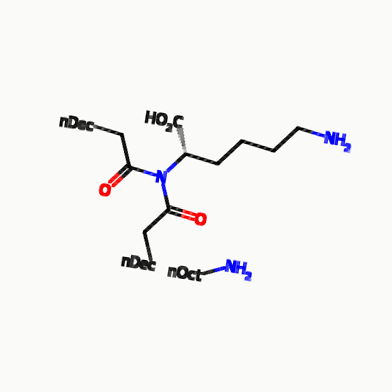 CCCCCCCCCCCC(=O)N(C(=O)CCCCCCCCCCC)[C@@H](CCCCN)C(=O)O.CCCCCCCCN